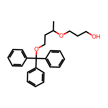 CC(CCOC(c1ccccc1)(c1ccccc1)c1ccccc1)OCCCO